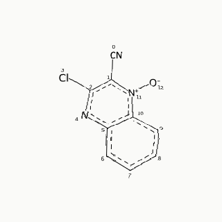 N#Cc1c(Cl)nc2ccccc2[n+]1[O-]